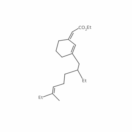 CCOC(=O)C=C1C=C(CC(CC)CCC=C(C)CC)CCC1